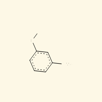 COc1cccc([B]F)c1